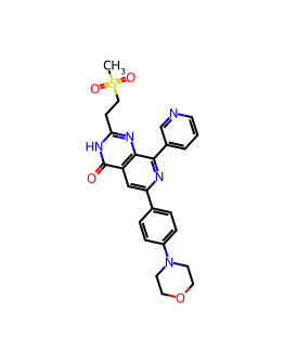 CS(=O)(=O)CCc1nc2c(-c3cccnc3)nc(-c3ccc(N4CCOCC4)cc3)cc2c(=O)[nH]1